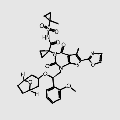 COc1ccccc1[C@H](Cn1c(=O)n(C2(C(=O)NS(=O)(=O)C3(C)CC3)CC2)c(=O)c2c(C)c(-c3ncco3)sc21)OC1C[C@H]2CC[C@@H](C1)O2